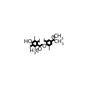 COC(C)c1cc(I)c(OCC(OC)c2c(I)c(I)c(O)c(I)c2I)c(I)c1